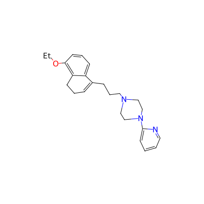 CCOc1cccc2c1CCC=C2CCCN1CCN(c2ccccn2)CC1